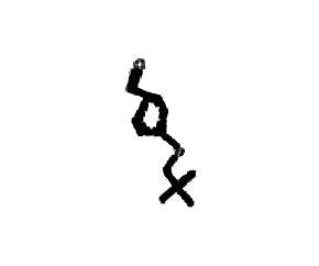 CC(C)(C)COc1ccc([C]=O)cc1